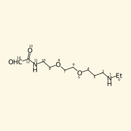 CCNCCCOCCOCCNC(=O)C=O